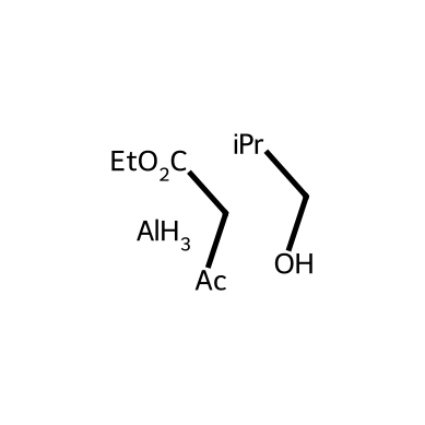 CC(C)CO.CCOC(=O)CC(C)=O.[AlH3]